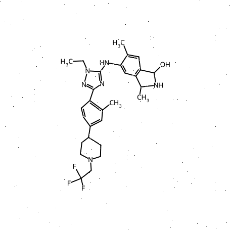 CCn1nc(-c2ccc(C3CCN(CC(F)(F)F)CC3)cc2C)nc1Nc1cc2c(cc1C)C(O)NC2C